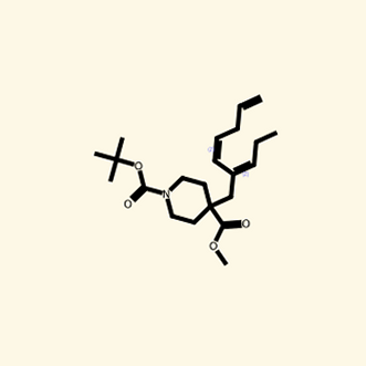 C=CC/C=C\C(=C/CC)CC1(C(=O)OC)CCN(C(=O)OC(C)(C)C)CC1